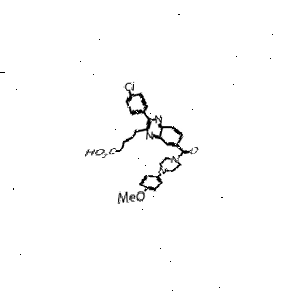 COc1ccc(N2CCN(C(=O)c3ccc4nc(-c5ccc(Cl)cc5)c(CCCCC(=O)O)nc4c3)CC2)cc1